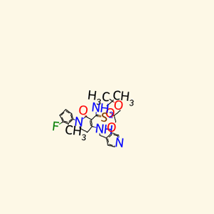 Cc1c(F)cccc1N1CCC(NCc2ccncc2OCC2COC(C)(C)CO2)=C(C(N)=S)C1=O